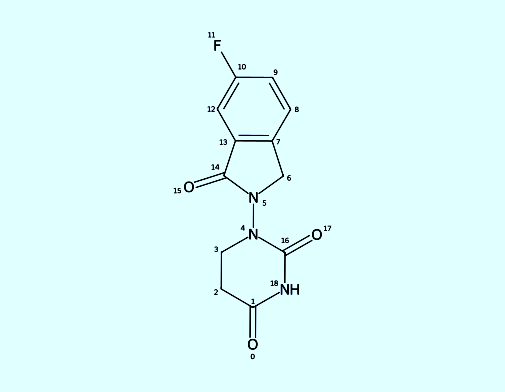 O=C1CCN(N2Cc3ccc(F)cc3C2=O)C(=O)N1